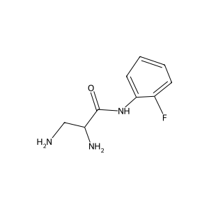 NCC(N)C(=O)Nc1ccccc1F